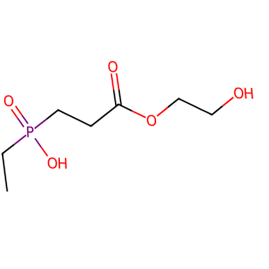 CCP(=O)(O)CCC(=O)OCCO